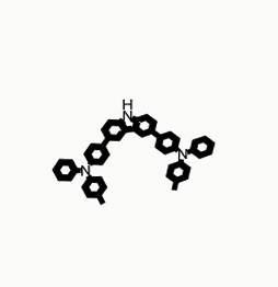 Cc1ccc(N(c2ccccc2)c2ccc(-c3ccc4[nH]c5ccc(-c6ccc(N(c7ccccc7)c7ccc(C)cc7)cc6)cc5c4c3)cc2)cc1